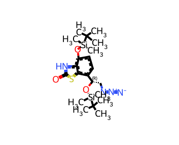 CC(C)(C)[Si](C)(C)Oc1ccc([C@H](CN=[N+]=[N-])O[Si](C)(C)C(C)(C)C)c2sc(=O)[nH]c12